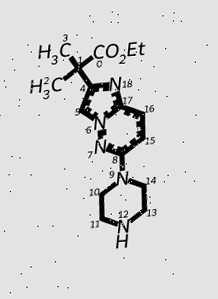 CCOC(=O)C(C)(C)c1cn2nc(N3CCNCC3)ccc2n1